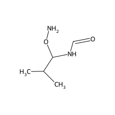 CC(C)C(NC=O)ON